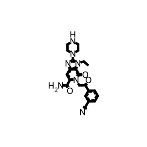 CCn1c(N2CCNCC2)nc2cc(C(N)=O)n(CC(=O)c3cccc(C#N)c3)c(=O)c21